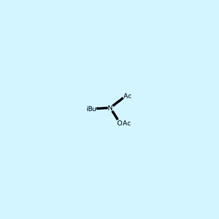 CCC(C)N(OC(C)=O)C(C)=O